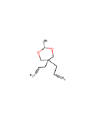 C=CCC1(CC=C)COC(CCCC)OC1